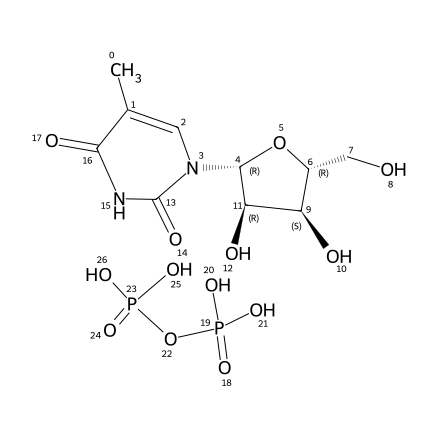 Cc1cn([C@@H]2O[C@H](CO)[C@@H](O)[C@H]2O)c(=O)[nH]c1=O.O=P(O)(O)OP(=O)(O)O